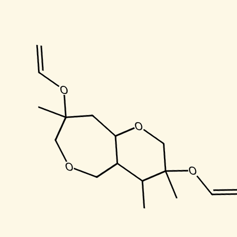 C=COC1(C)COCC2C(C1)OCC(C)(OC=C)C2C